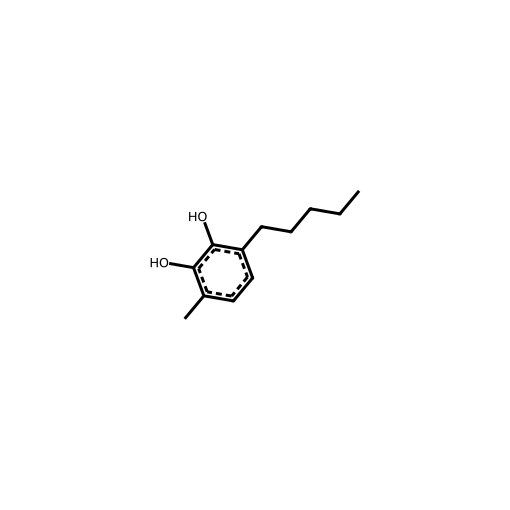 CCCCCc1ccc(C)c(O)c1O